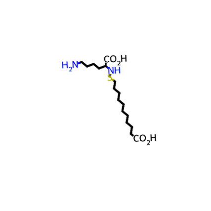 NCCCC[C@H](NSCCCCCCCCCCC(=O)O)C(=O)O